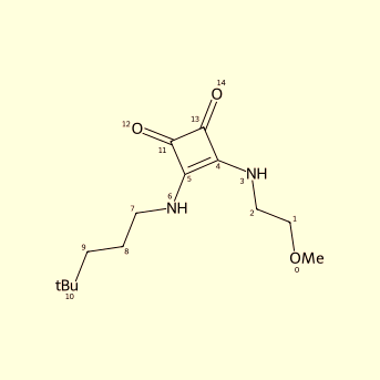 COCCNc1c(NCCCC(C)(C)C)c(=O)c1=O